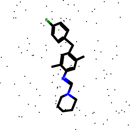 Cc1cc(/N=C/N2CCCCC2)c(C)cc1Cc1ccc(F)cc1